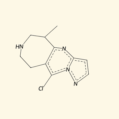 CC1CNCCc2c1nc1ccnn1c2Cl